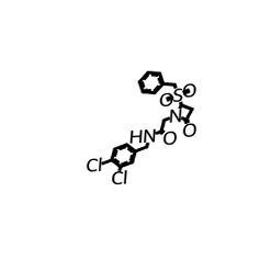 O=C(CN1C(=O)CC1S(=O)(=O)Cc1ccccc1)NCc1ccc(Cl)c(Cl)c1